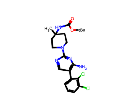 CC1(NC(=O)OC(C)(C)C)CCN(c2ncc(-c3cccc(Cl)c3Cl)c(N)n2)CC1